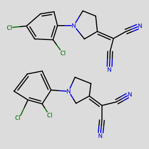 N#CC(C#N)=C1CCN(c2ccc(Cl)cc2Cl)C1.N#CC(C#N)=C1CCN(c2cccc(Cl)c2Cl)C1